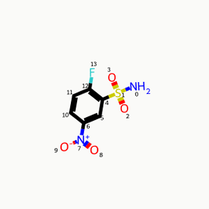 NS(=O)(=O)c1cc([N+](=O)[O-])ccc1F